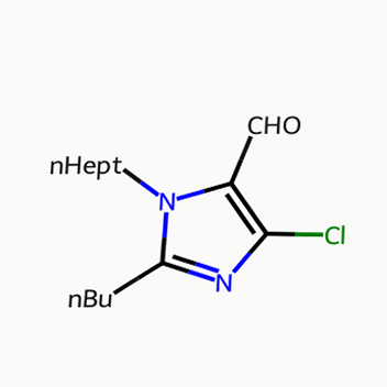 CCCCCCCn1c(CCCC)nc(Cl)c1C=O